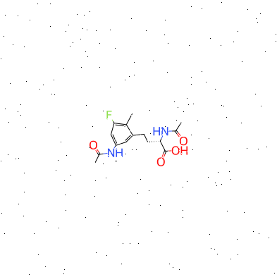 CC(=O)Nc1cc(F)c(C)c(CC[C@H](NC(C)=O)C(=O)O)c1